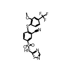 COc1cc(C(F)(F)F)ccc1Sc1ccc(S(=O)(=O)Nc2ncns2)cc1C#N